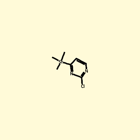 [CH3][Sn]([CH3])([CH3])[c]1ccnc(Cl)n1